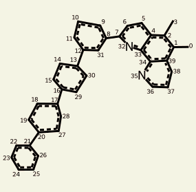 Cc1c(C)c2ccc(-c3cccc(-c4ccc(-c5ccc(-c6ccccc6)cc5)cc4)c3)nc2c2ncccc12